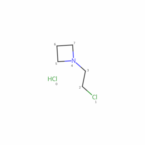 Cl.ClCCN1CCC1